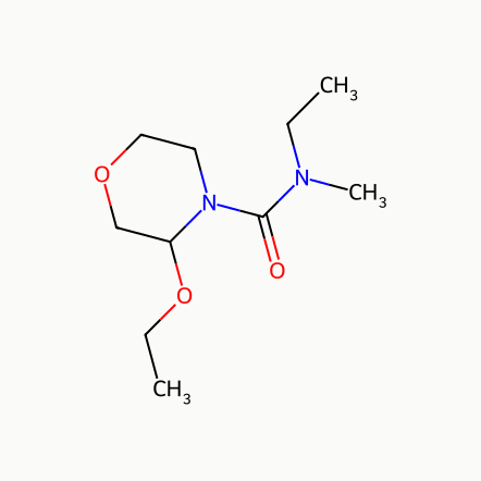 CCOC1COCCN1C(=O)N(C)CC